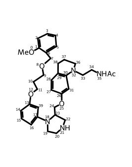 COc1ccccc1COCCCOc1cccc(N2CCNCC2COc2ccc3c(c2)N(CCNC(C)=O)CCC3)c1